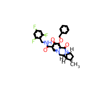 C[C@@H]1C[C@H]2C[C@@H]1[C@@H]1Cn3cc(C(=O)NCc4c(F)cc(F)cc4F)c(=O)c(OCc4ccccc4)c3C(=O)N21